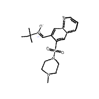 CN1CCN(S(=O)(=O)c2cc3cccnc3cc2/C=[N+](\[O-])C(C)(C)C)CC1